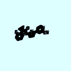 N#Cc1cc(-n2ccc(NC(=O)C3(c4ccccc4F)CC3)n2)ccn1